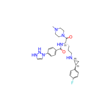 CN1CCN(C(=O)[C@H](CCCN[C@@H]2C[C@H]2c2ccc(F)cc2)NC(=O)c2ccc(N3C=CNN3)cc2)CC1